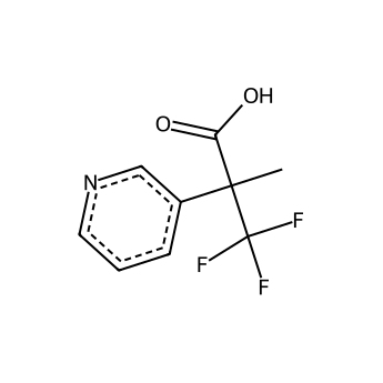 CC(C(=O)O)(c1cccnc1)C(F)(F)F